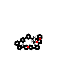 c1ccc(-c2nc(-c3cccc(-c4ccc(-c5ccccc5)c(-n5c6ccccc6c6ccccc65)c4)c3)nc(-n3c4ccccc4c4cccc(-c5ccccc5)c43)n2)cc1